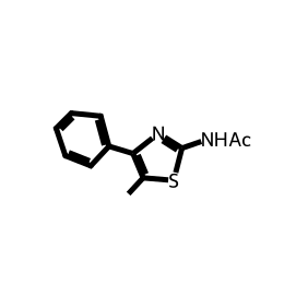 CC(=O)Nc1nc(-c2ccccc2)c(C)s1